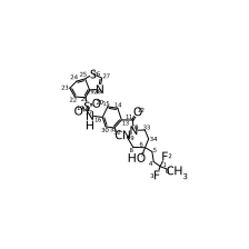 CC(F)(F)CCC1(O)CCN(C(=O)c2ccc(NS(=O)(=O)c3cccc4scnc34)cc2C#N)CC1